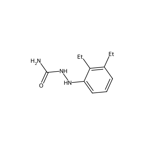 CCc1cccc(NNC(N)=O)c1CC